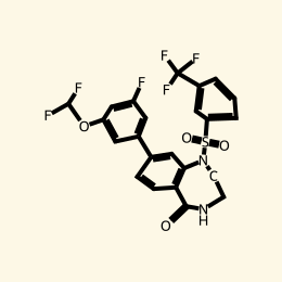 O=C1NCCN(S(=O)(=O)c2cccc(C(F)(F)F)c2)c2cc(-c3cc(F)cc(OC(F)F)c3)ccc21